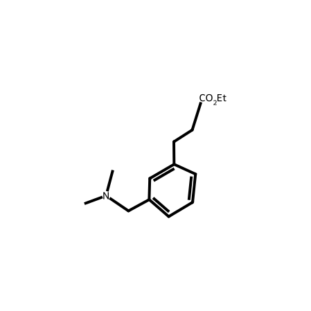 CCOC(=O)CCc1cccc(CN(C)C)c1